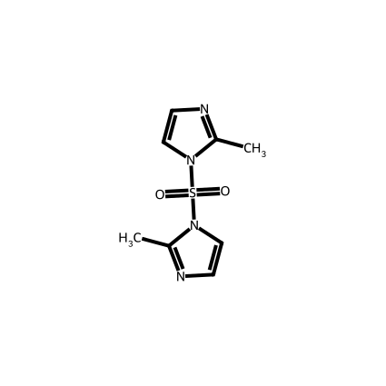 Cc1nccn1S(=O)(=O)n1ccnc1C